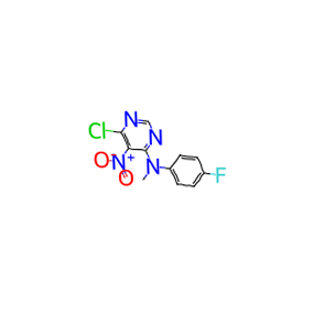 CN(c1ccc(F)cc1)c1ncnc(Cl)c1[N+](=O)[O-]